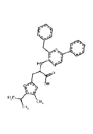 Cc1cc(CC(Nc2ncc(-c3ccccc3)nc2Cc2ccccc2)C(=O)O)oc1C(C)C